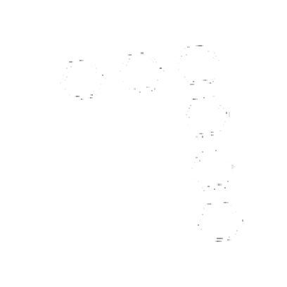 [Cu].c1ccncc1.c1ccncc1.c1ccncc1.c1ccncc1.c1ccncc1.c1ccncc1